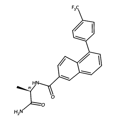 C[C@@H](NC(=O)c1ccc2c(-c3ccc(C(F)(F)F)cc3)cccc2c1)C(N)=O